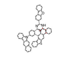 c1ccc(C2N=C(c3ccc(-n4c5ccccc5c5cc6ccccc6cc54)cc3-c3c4ccccc4cc4sc5ccccc5c34)N=C(c3ccc4c(c3)oc3ccccc34)N2)cc1